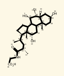 CC[C@H]1[C@@H](O)C2C3CC[C@H]([C@H](C)C[C@H](C)C(=O)NCC(=O)O)[C@@]3(C)[C@@H](O)CC2[C@@]2(C)CC[C@@H](O)C[C@@H]12